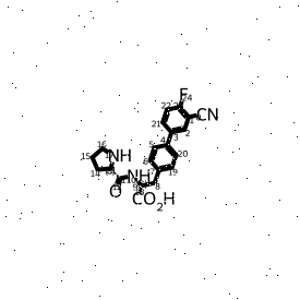 N#Cc1cc(-c2ccc(C[C@H](NC(=O)[C@@H]3CCCN3)C(=O)O)cc2)ccc1F